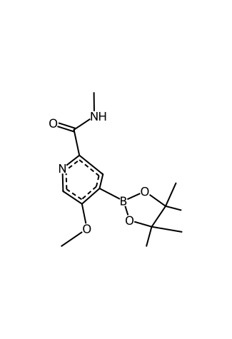 CNC(=O)c1cc(B2OC(C)(C)C(C)(C)O2)c(OC)cn1